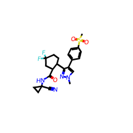 Cn1cc(-c2ccc(S(C)(=O)=O)cc2)c(C2CCC(F)(F)CC2C(=O)NC2(C#N)CC2)n1